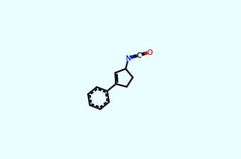 O=C=NC1C=C(c2ccccc2)CC1